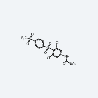 CNC(=O)Nc1cc(Cl)c(S(=O)(=O)c2ccc(S(=O)(=O)C(F)(F)F)cc2)c(Cl)c1